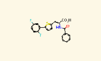 O=C(O)C(=Cc1ccc(-c2cc(F)ccc2F)s1)NC(=O)c1ccccc1